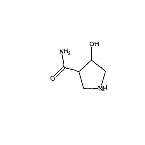 NC(=O)C1CNCC1O